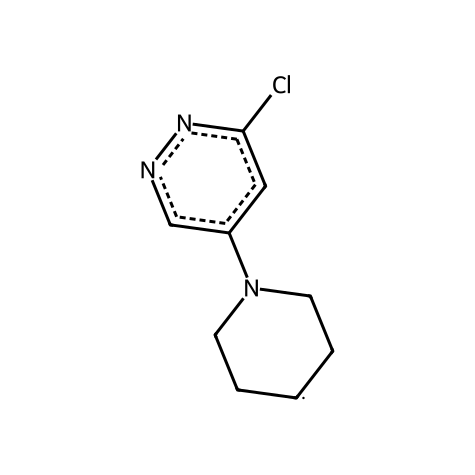 Clc1cc(N2CC[CH]CC2)cnn1